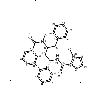 CN(C(=O)c1cccc(-c2ccccn2)c1)C(CCNC(=O)c1cccn1C)Cc1ccccc1